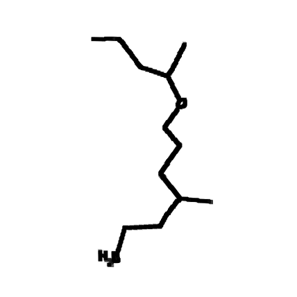 BCCC(C)CCCOC(C)CCC